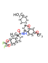 C[C@@]1(C(=O)N[C@@H]2C[C@H](C3CCC(C(=O)O)CC3)Oc3cc(OC(F)(F)F)ccc32)CCc2cc3c(cc21)OC(F)(F)O3